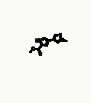 COC(=O)c1cc(-c2cnn(C)c2)c[nH]1